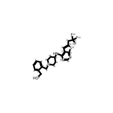 OCc1ccccc1CN1CCC(Nc2ncnc3sc(CC(F)(F)F)cc23)CC1